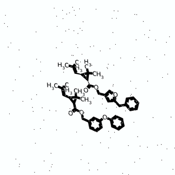 CC(C)=CC1C(C(=O)OCc2cccc(Oc3ccccc3)c2)C1(C)C.CC(C)=C[C@@H]1[C@@H](C(=O)OCc2coc(Cc3ccccc3)c2)C1(C)C